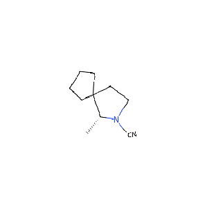 C[C@H]1N(C#N)CCC12CCCC2